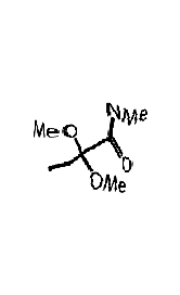 CNC(=O)C(C)(OC)OC